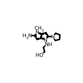 Cn1c(N)cc2c1cc(N1CCCC1)n2NCCO